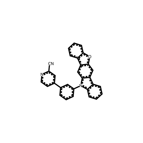 N#Cc1cc(-c2cccc(-n3c4ccccc4c4cc5oc6ccccc6c5cc43)c2)ccn1